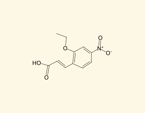 CCOc1cc([N+](=O)[O-])ccc1C=CC(=O)O